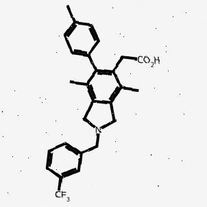 Cc1ccc(-c2c(C)c3c(c(C)c2CC(=O)O)CN(Cc2cccc(C(F)(F)F)c2)C3)cc1